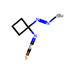 CC(C)(C)N=NC1(N=C=S)CCC1